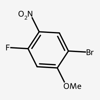 COc1cc(F)c([N+](=O)[O-])cc1Br